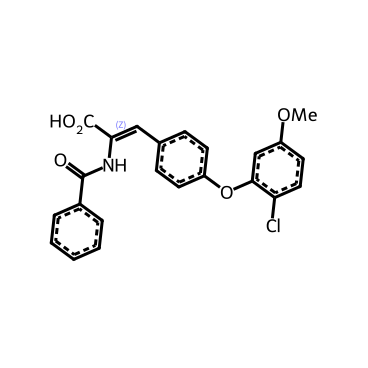 COc1ccc(Cl)c(Oc2ccc(/C=C(\NC(=O)c3ccccc3)C(=O)O)cc2)c1